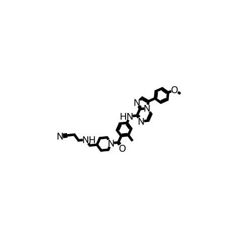 COc1ccc(-c2cnc3c(Nc4ccc(C(=O)N5CCC(CNCCC#N)CC5)c(C)c4)nccn23)cc1